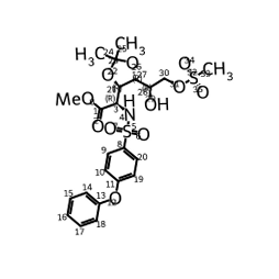 COC(=O)[C@H](NS(=O)(=O)c1ccc(Oc2ccccc2)cc1)[C@H]1OC(C)(C)O[C@@H]1[C@H](O)COS(C)(=O)=O